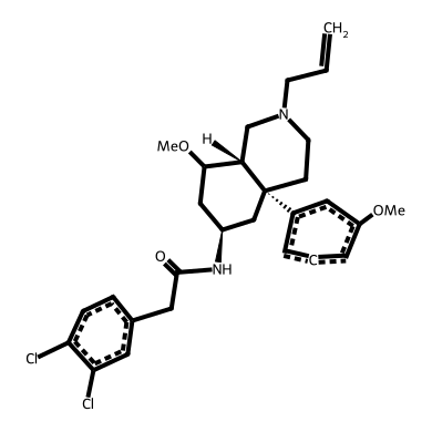 C=CCN1CC[C@@]2(c3cccc(OC)c3)C[C@@H](NC(=O)Cc3ccc(Cl)c(Cl)c3)CC(OC)[C@@H]2C1